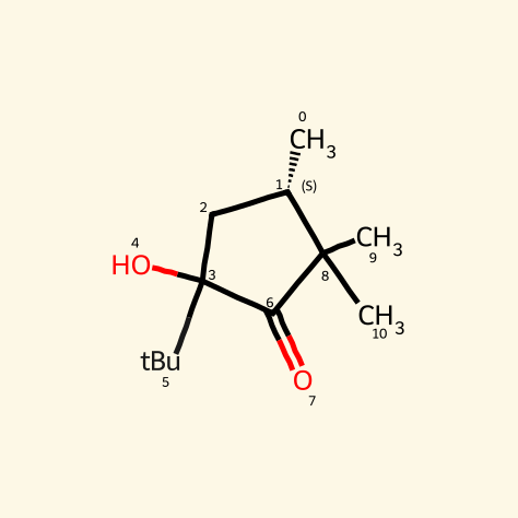 C[C@H]1CC(O)(C(C)(C)C)C(=O)C1(C)C